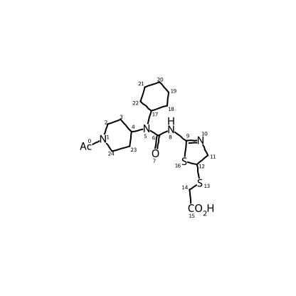 CC(=O)N1CCC(N(C(=O)NC2=NCC(SCC(=O)O)S2)C2CCCCC2)CC1